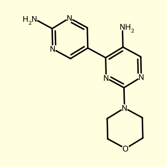 Nc1ncc(-c2nc(N3CCOCC3)ncc2N)cn1